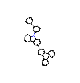 C1=Cc2c(n(-c3cccc(-c4ccccc4)c3)c3ccc(-c4ccc5c6ccccc6c6ccccc6c5c4)cc23)CC1